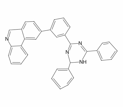 c1ccc(C2=NC(c3cccc(-c4ccc5cnc6ccccc6c5c4)c3)=NC(c3ccccc3)N2)cc1